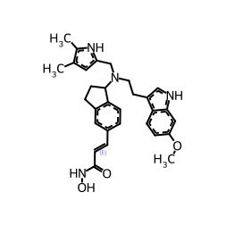 COc1ccc2c(CCN(Cc3cc(C)c(C)[nH]3)C3CCc4cc(/C=C/C(=O)NO)ccc43)c[nH]c2c1